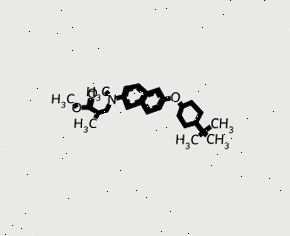 COC(=O)C(C)CN(C)c1ccc2cc(OC3CCC(C(C)(C)C)CC3)ccc2c1